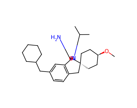 CO[C@H]1CC[C@]2(CC1)Cc1ccc(CC3CCCCC3)cc1C21N=C(N)N(C(C)C)O1